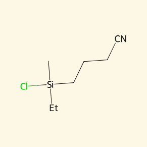 CC[Si](C)(Cl)CCCC#N